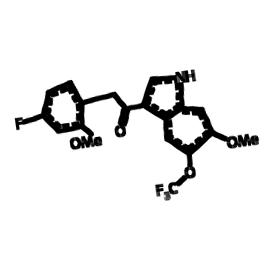 COc1cc(F)ccc1CC(=O)c1c[nH]c2cc(OC)c(OC(F)(F)F)cc12